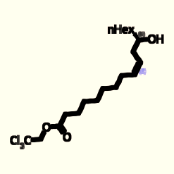 CCCCCC[C@@H](O)C/C=C\CCCCCCCC(=O)OCC(Cl)(Cl)Cl